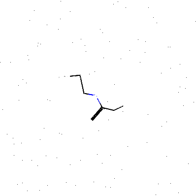 C=C(CC(=O)OCC)NCCCCCCCC